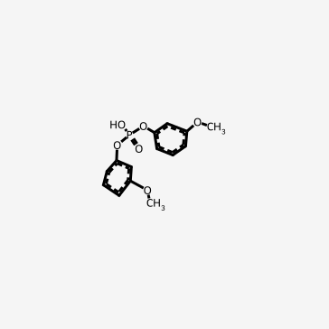 COc1cccc(OP(=O)(O)Oc2cccc(OC)c2)c1